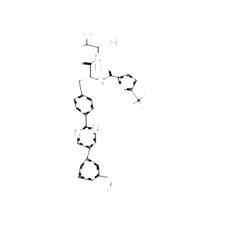 CSc1cccc(-c2cnc(-c3ccc(C[C@H](NC(=O)c4ccc(C(C)(C)C)s4)C(=O)N[C@H](C)C(O)O)cc3)nc2)c1